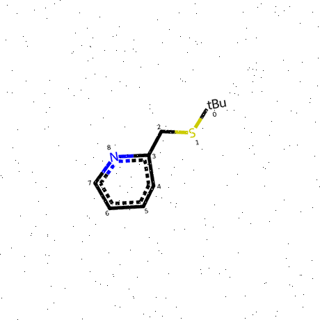 CC(C)(C)SCc1ccccn1